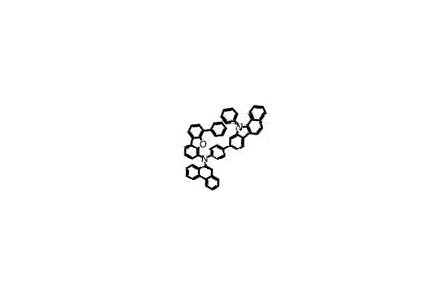 c1ccc(-c2cccc3c2oc2c(N(c4ccc(-c5ccc6c7ccc8ccccc8c7n(-c7ccccc7)c6c5)cc4)c4cc5ccccc5c5ccccc45)cccc23)cc1